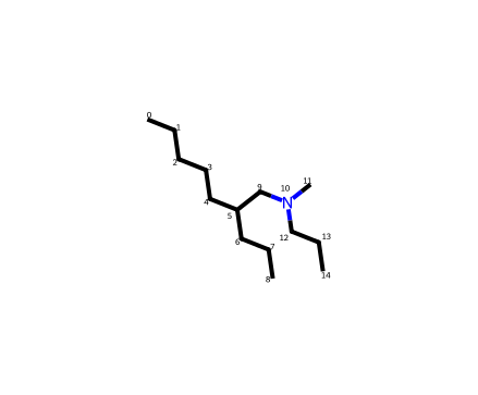 CCCCCC(CCC)CN(C)CCC